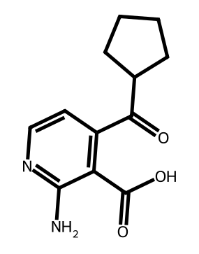 Nc1nccc(C(=O)C2CCCC2)c1C(=O)O